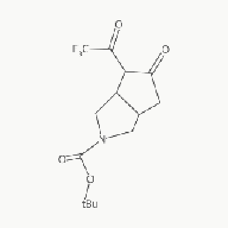 CC(C)(C)OC(=O)N1CC2CC(=O)C(C(=O)C(F)(F)F)C2C1